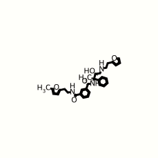 Cc1ccc(CCNC(=O)c2cccc(C(=O)N[C@@](C)(c3ccccc3)[C@H](O)CNCCc3ccco3)c2)o1